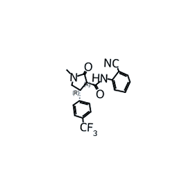 CN1C[C@@H](c2ccc(C(F)(F)F)cc2)[C@H](C(=O)Nc2ccccc2C#N)C1=O